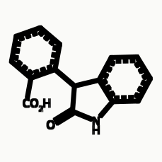 O=C(O)c1ccccc1C1C(=O)Nc2ccccc21